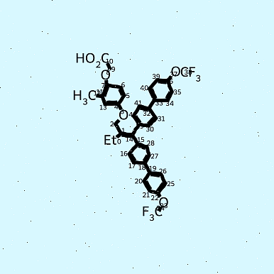 CCC(COc1ccc(OCC(=O)O)c(C)c1)=C(c1ccc(-c2ccc(OC(F)(F)F)cc2)cc1)c1ccc(-c2ccc(OC(F)(F)F)cc2)cc1